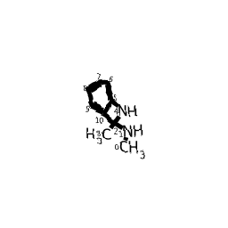 CNC1(C)Nc2ccccc21